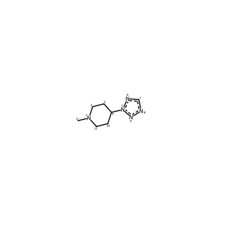 CN1CCC(n2ncnn2)CC1